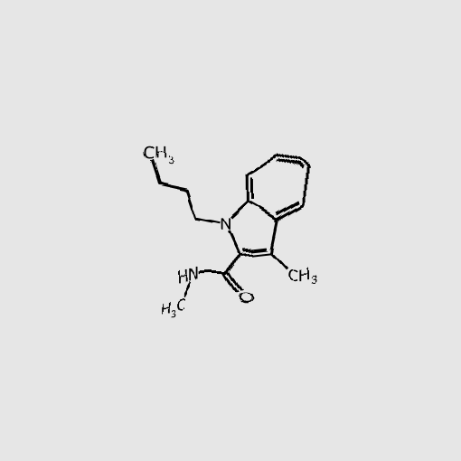 CCCCn1c(C(=O)NC)c(C)c2ccccc21